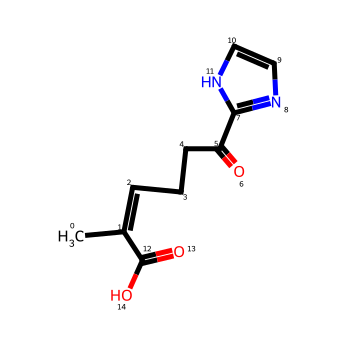 CC(=CCCC(=O)c1ncc[nH]1)C(=O)O